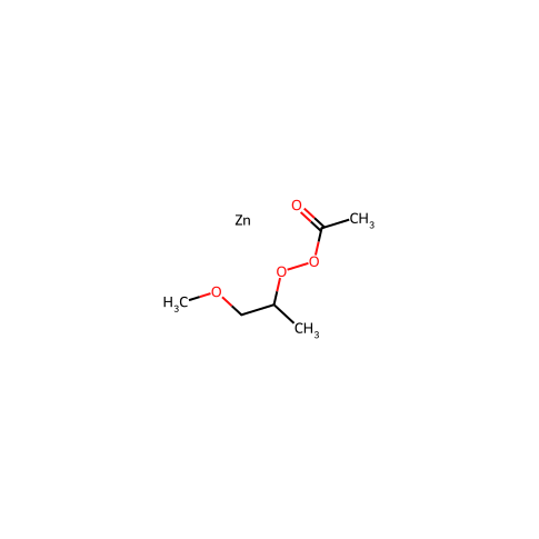 COCC(C)OOC(C)=O.[Zn]